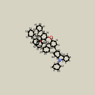 c1ccc(-n2c3ccccc3c3cc(-c4ccc5c(c4)[Si](c4ccccc4)(c4ccccc4)c4cc([Si](c6ccccc6)(c6ccccc6)c6ccccc6)ccc4O5)ccc32)cc1